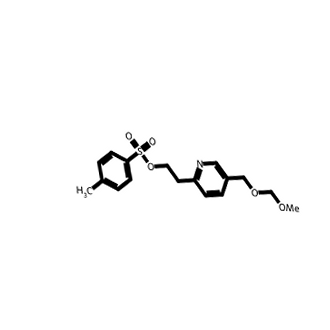 COCOCc1ccc(CCOS(=O)(=O)c2ccc(C)cc2)nc1